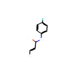 O=[N+]([O-])C=CC(O)Nc1ccc(F)cc1